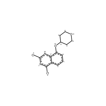 Clc1nc(Cl)c2cccc(OC3CCOCC3)c2n1